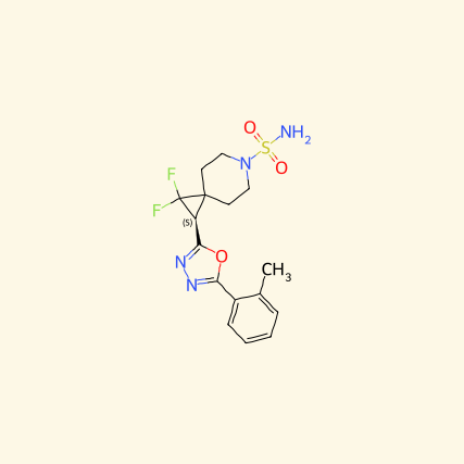 Cc1ccccc1-c1nnc([C@H]2C(F)(F)C23CCN(S(N)(=O)=O)CC3)o1